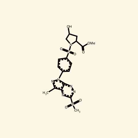 COC(=O)C1CC(O)CN1S(=O)(=O)c1ccc(-n2nc(C)c3nc(S(C)(=O)=O)nnc32)cc1